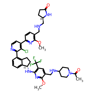 COc1nc(-c2ccnc(-c3cccc4c3CC[C@@H]4Nc3nc(OC)c(CNC4CCN(C(C)=O)CC4)cc3C(F)(F)F)c2Cl)ccc1CNC[C@H]1CCC(=O)N1